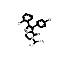 CC(C)N1CCn2nc(-c3ccccc3Cl)c(-c3ccc(Cl)cc3)c2C1=O